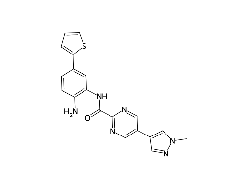 Cn1cc(-c2cnc(C(=O)Nc3cc(-c4cccs4)ccc3N)nc2)cn1